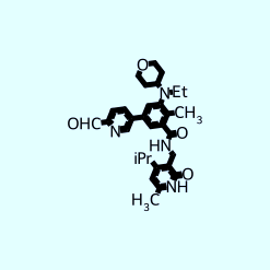 CCN(c1cc(-c2ccc(C=O)nc2)cc(C(=O)NCc2c(C(C)C)cc(C)[nH]c2=O)c1C)C1CCOCC1